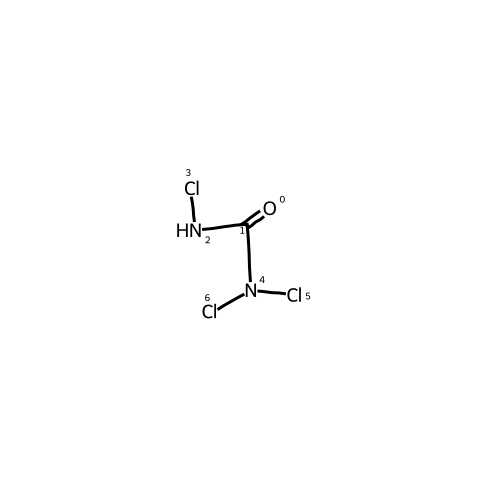 O=C(NCl)N(Cl)Cl